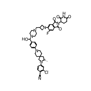 C[C@H]1CC2(CCN(c3ccc(C(O)N4CCN(CC5CN(c6cc7c(cc6F)C(=O)N(C6CCC(=O)NC6=O)C7=O)C5)CC4)cc3)CC2)CN1c1ccc(C#N)c(Cl)c1